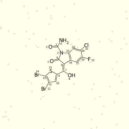 NC(=O)N1C(=O)C(=C(O)c2cc(Br)c(Br)s2)c2cc(F)c(Cl)cc21